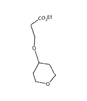 CCOC(=O)CCOC1CCOCC1